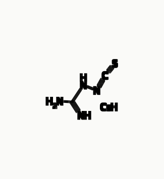 N=C(N)NN=C=S.[CsH]